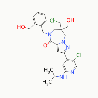 CC(C)Nc1cc(-c2cc3n(n2)CC(CO)(CCl)CN(Cc2ccccc2CO)C3=O)c(Cl)cn1